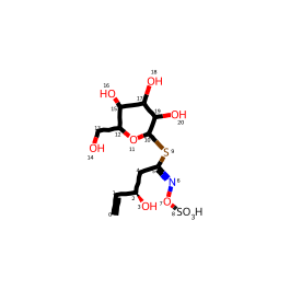 C=C[C@H](O)C/C(=N\OS(=O)(=O)O)SC1OC(CO)C(O)C(O)C1O